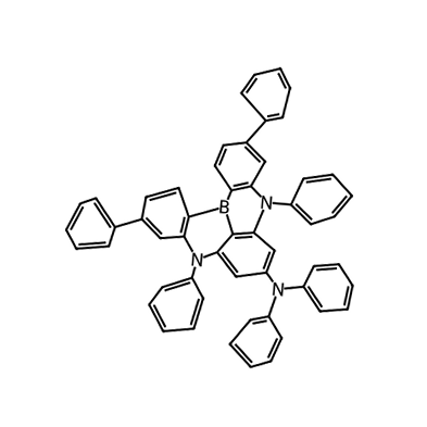 c1ccc(-c2ccc3c(c2)N(c2ccccc2)c2cc(N(c4ccccc4)c4ccccc4)cc4c2B3c2ccc(-c3ccccc3)cc2N4c2ccccc2)cc1